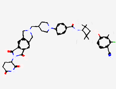 Cc1c(O[C@H]2C(C)(C)[C@H](NC(=O)c3ccc(N4CCC(CN5Cc6cc7c(cc6C5)C(=O)N(C5CCC(=O)NC5=O)C7=O)CC4)cc3)C2(C)C)ccc(C#N)c1Cl